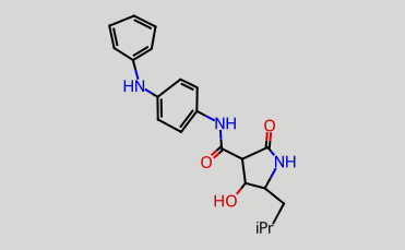 CC(C)CC1NC(=O)C(C(=O)Nc2ccc(Nc3ccccc3)cc2)C1O